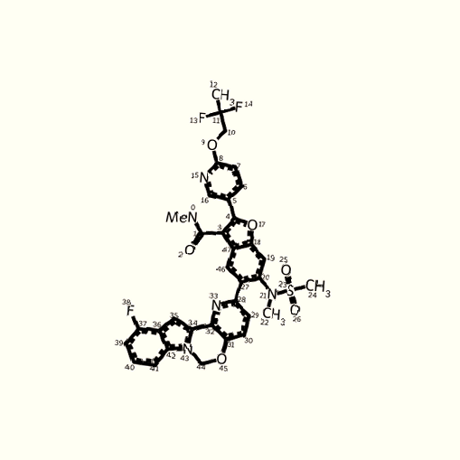 CNC(=O)c1c(-c2ccc(OCC(C)(F)F)nc2)oc2cc(N(C)S(C)(=O)=O)c(-c3ccc4c(n3)-c3cc5c(F)cccc5n3CO4)cc12